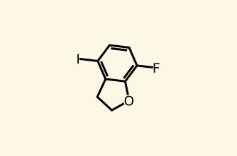 Fc1ccc(I)c2c1OCC2